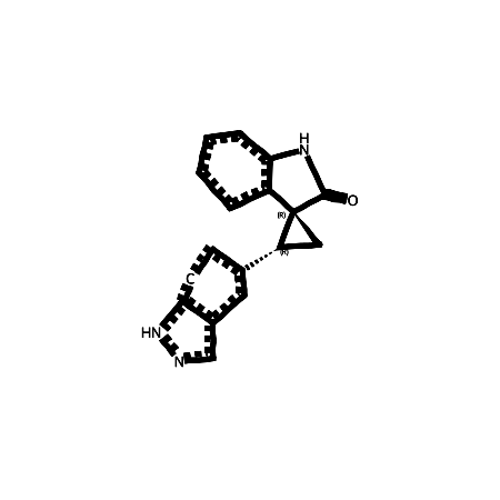 O=C1Nc2ccccc2[C@]12C[C@@H]2c1ccc2[nH]ncc2c1